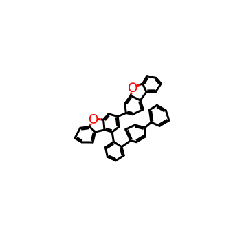 c1ccc(-c2ccc(-c3ccccc3-c3cc(-c4ccc5c(c4)oc4ccccc45)cc4oc5ccccc5c34)cc2)cc1